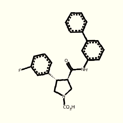 O=C(Nc1cccc(-c2ccccc2)c1)[C@H]1CN(C(=O)O)C[C@@H]1c1cccc(F)c1